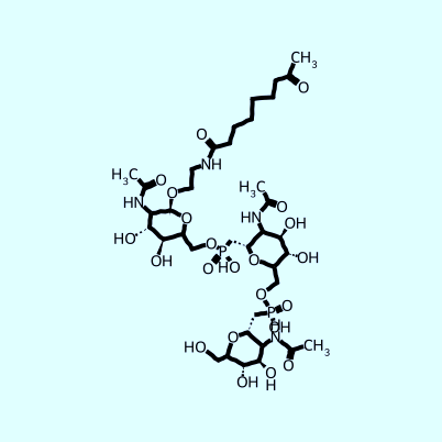 CC(=O)CCCCCCC(=O)NCCO[C@H]1OC(COP(=O)(O)C[C@H]2OC(COP(=O)(O)C[C@H]3OC(CO)[C@@H](O)[C@H](O)C3NC(C)=O)[C@@H](O)[C@H](O)C2NC(C)=O)[C@@H](O)[C@H](O)C1NC(C)=O